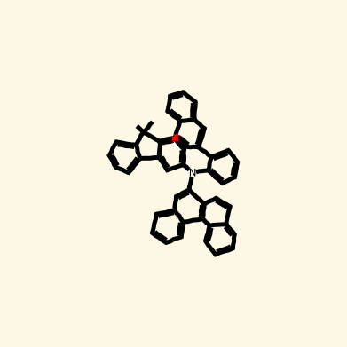 CC1(C)c2ccccc2-c2cc(N(c3ccccc3-c3ccc4ccccc4c3)c3cc4ccccc4c4c3ccc3ccccc34)ccc21